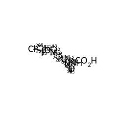 O=C(O)c1cc2nc(CN3CC=C(c4cccc(OCc5ccc(Cl)cc5F)n4)CC3)n(C[C@@H]3CCO3)c2[nH]1